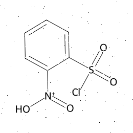 O=[N+](O)c1ccccc1S(=O)(=O)Cl